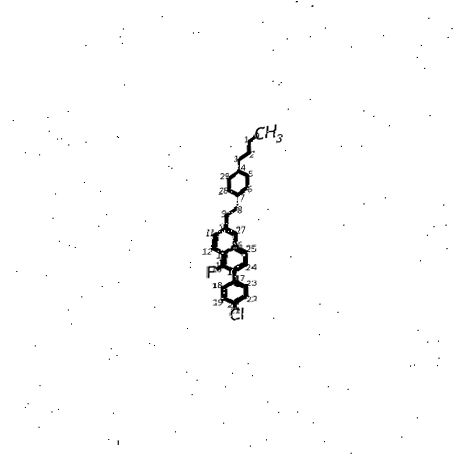 CCCC[C@H]1CC[C@H](CCc2ccc3c(F)c(-c4ccc(Cl)cc4)ccc3c2)CC1